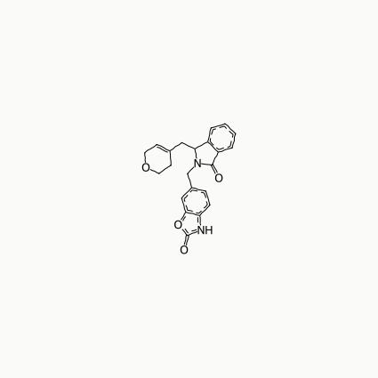 O=C1c2ccccc2C(CC2=CCOCC2)N1Cc1ccc2[nH]c(=O)oc2c1